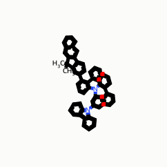 CC1(C)c2cc(-c3cccc(N(c4cccc(-n5c6ccccc6c6ccccc65)c4)c4ccccc4-c4ccccc4)c3-c3ccccc3)ccc2-c2cc3ccccc3cc21